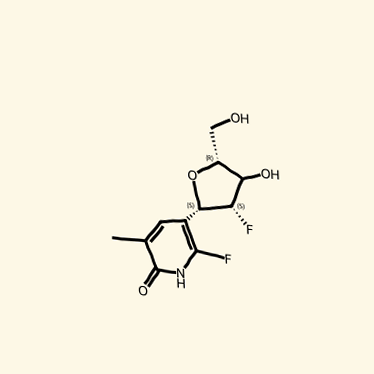 Cc1cc([C@@H]2O[C@H](CO)C(O)[C@@H]2F)c(F)[nH]c1=O